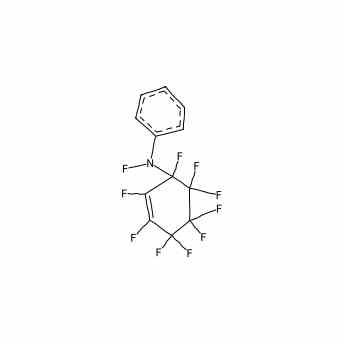 FC1=C(F)C(F)(N(F)c2ccccc2)C(F)(F)C(F)(F)C1(F)F